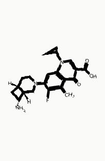 Cc1c(F)c(N2CC[C@H]3C[C@@H](N)[C@H]3C2)cc2c1c(=O)c(C(=O)O)cn2C1CC1